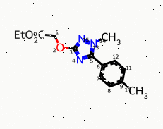 CCOC(=O)COc1nc(-c2ccc(C)cc2)n(C)n1